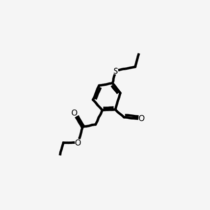 CCOC(=O)Cc1ccc(SCC)cc1C=O